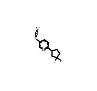 [N-]=[N+]=Nc1ccc(C2CCC(F)(F)C2)nc1